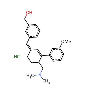 COc1cccc(C2=CC(=Cc3cccc(CO)c3)CCC2CN(C)C)c1.Cl